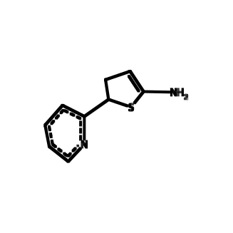 NC1=CCC(c2ccccn2)S1